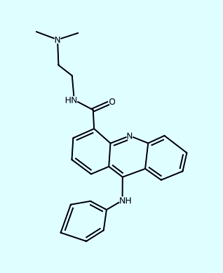 CN(C)CCNC(=O)c1cccc2c(Nc3ccccc3)c3ccccc3nc12